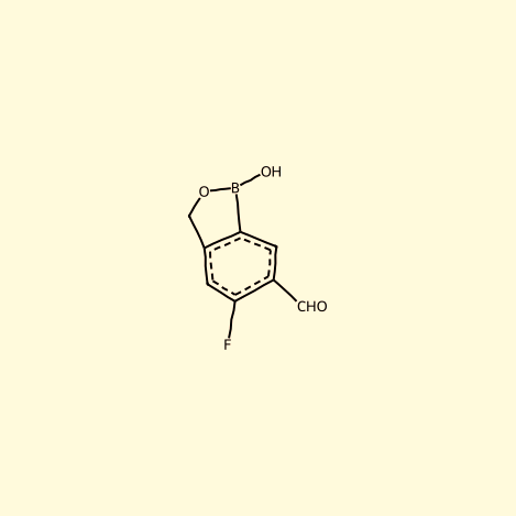 O=Cc1cc2c(cc1F)COB2O